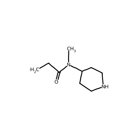 [CH2]CC(=O)N(C)C1CCNCC1